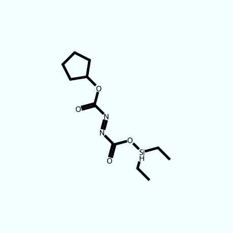 CC[SiH](CC)OC(=O)N=NC(=O)OC1CCCC1